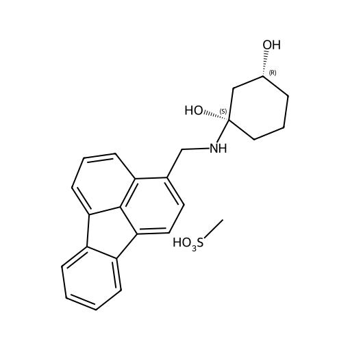 CS(=O)(=O)O.O[C@@H]1CCC[C@@](O)(NCc2ccc3c4c(cccc24)-c2ccccc2-3)C1